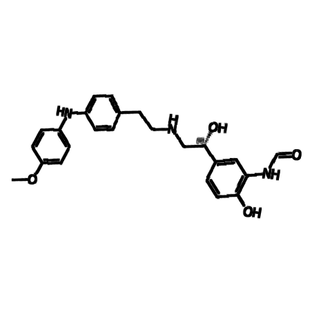 COc1ccc(Nc2ccc(CCNC[C@H](O)c3ccc(O)c(NC=O)c3)cc2)cc1